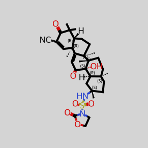 CC1(C)C(=O)C(C#N)=C[C@]2(C)C3=CC(=O)[C@]4(O)[C@@H]5C[C@@](C)(NS(=O)(=O)N6CCOC6=O)CC[C@]5(C)CC[C@@]4(C)[C@]3(C)CC[C@@H]12